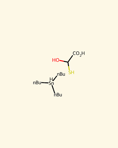 CCC[CH2][SnH]([CH2]CCC)[CH2]CCC.O=C(O)C(O)S